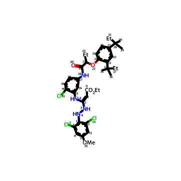 CCOC(=O)C=C(NNc1c(Cl)cc(OC)cc1Cl)Nc1cc(NC(=O)C(CC)Oc2ccc(C(C)(C)CC)cc2C(C)(C)CC)ccc1Cl